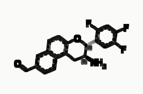 N[C@H]1Cc2c(ccc3cc(C=O)ccc23)O[C@@H]1c1cc(F)c(F)cc1F